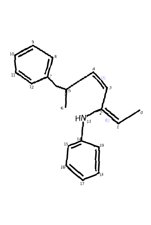 C/C=C(\C=C/C(C)c1ccccc1)Nc1ccccc1